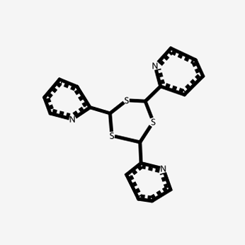 c1ccc(C2SC(c3ccccn3)SC(c3ccccn3)S2)nc1